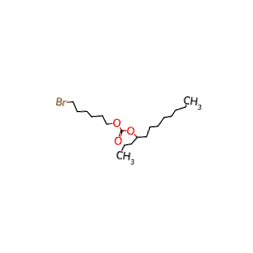 CCCCCCCCC(CCC)OC(=O)OCCCCCCBr